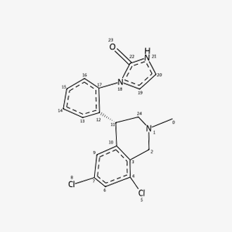 CN1Cc2c(Cl)cc(Cl)cc2[C@H](c2ccccc2-n2cc[nH]c2=O)C1